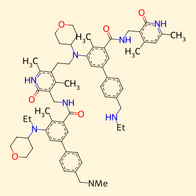 CCNCc1ccc(-c2cc(C(=O)NCc3c(C)cc(C)[nH]c3=O)c(C)c(N(CCc3c(C)[nH]c(=O)c(CNC(=O)c4cc(-c5ccc(CNC)cc5)cc(N(CC)C5CCOCC5)c4C)c3C)C3CCOCC3)c2)cc1